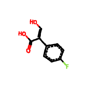 O=C(O)C(=CO)c1ccc(F)cc1